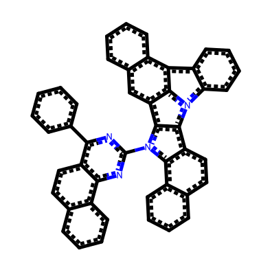 c1ccc(-c2nc(-n3c4c5ccccc5ccc4c4c3c3cc5ccccc5c5c6ccccc6n4c35)nc3c2ccc2ccccc23)cc1